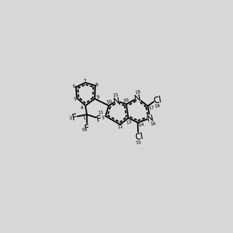 FC(F)(F)c1ccccc1-c1ccc2c(Cl)nc(Cl)nc2n1